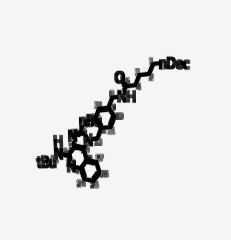 CCCCCCCCCCCCCCC(=O)NCc1ccc(Cn2c(CCCC)nc3c(NC(C)(C)C)nc4ccccc4c32)cc1